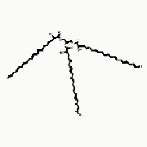 CCC=CCC=CCC=CCC=CCC=CCC=CCC(O)C(=O)OCC(COC(=O)C(O)CC=CCC=CCC=CCC=CCC=CCC=CCC)OC(=O)C(O)CC=CCC=CCC=CCC=CCC=CCC=CCC